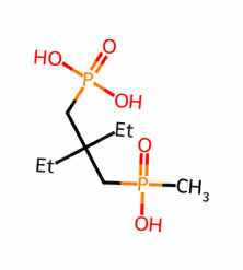 CCC(CC)(CP(C)(=O)O)CP(=O)(O)O